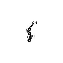 C#CCCCOc1ccc2c(c1)ncn2-c1ccc(NC(=O)Oc2ccccc2)cc1